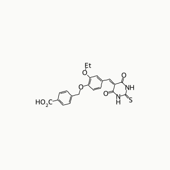 CCOc1cc(C=C2C(=O)NC(=S)NC2=O)ccc1OCc1ccc(C(=O)O)cc1